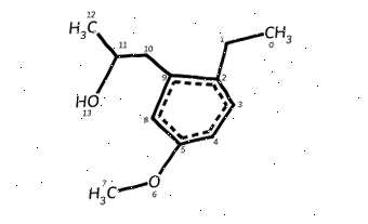 CCc1ccc(OC)cc1CC(C)O